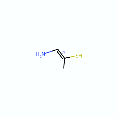 C/C(S)=C\N